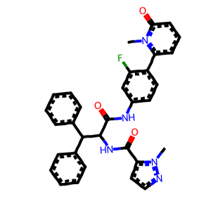 Cn1nccc1C(=O)NC(C(=O)Nc1ccc(-c2cccc(=O)n2C)c(F)c1)C(c1ccccc1)c1ccccc1